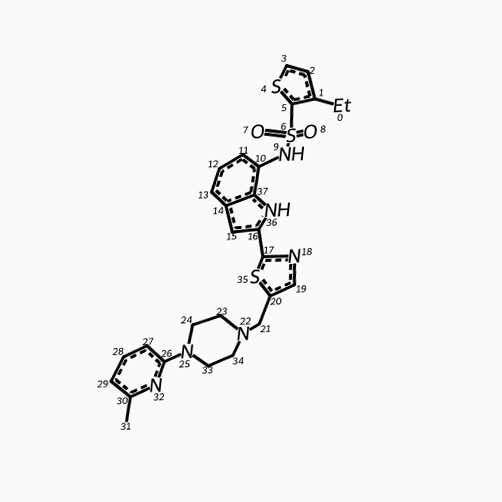 CCc1ccsc1S(=O)(=O)Nc1cccc2cc(-c3ncc(CN4CCN(c5cccc(C)n5)CC4)s3)[nH]c12